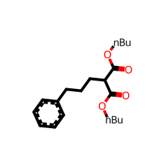 CCCCOC(=O)C(CCCc1ccccc1)C(=O)OCCCC